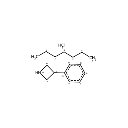 CCCCCCC.Cl.c1ccc(C2CNC2)cc1